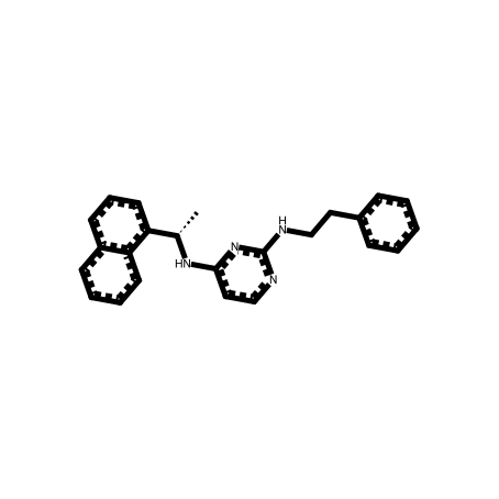 C[C@H](Nc1ccnc(NCCc2ccccc2)n1)c1cccc2ccccc12